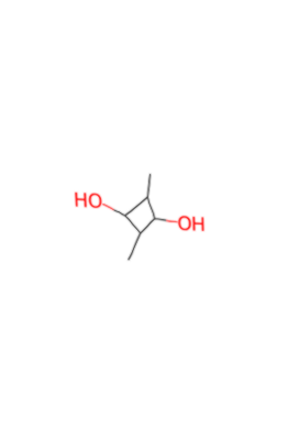 CC1C(O)C(C)C1O